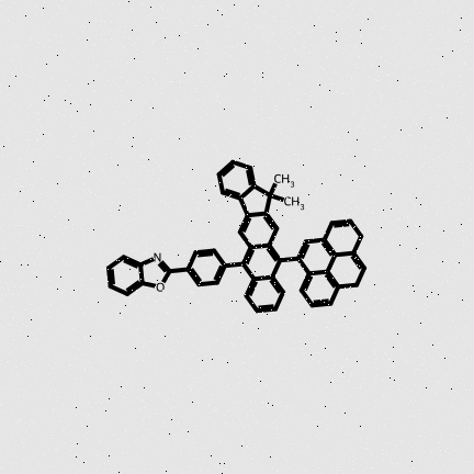 CC1(C)c2ccccc2-c2cc3c(-c4ccc(-c5nc6ccccc6o5)cc4)c4ccccc4c(-c4cc5c6c7c(cccc47)CC=C6CC=C5)c3cc21